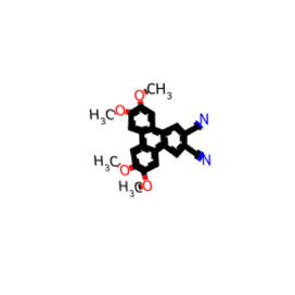 COc1cc2c3cc(C#N)c(C#N)cc3c3cc(OC)c(OC)cc3c2cc1OC